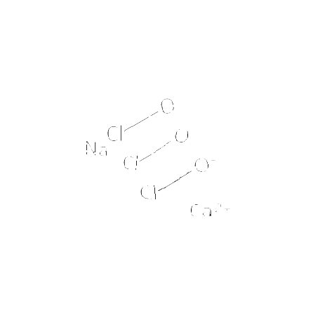 [Ca+2].[Na+].[O-]Cl.[O-]Cl.[O-]Cl